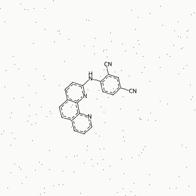 N#Cc1ccc(Nc2ccc3ccc4cccnc4c3n2)c(C#N)c1